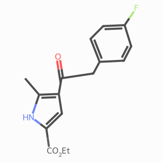 CCOC(=O)c1cc(C(=O)Cc2ccc(F)cc2)c(C)[nH]1